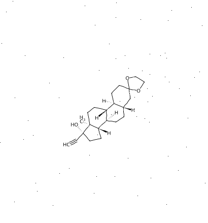 C#C[C@]1(O)CC[C@H]2[C@@H]3CC[C@H]4CC5(CC[C@@H]4[C@H]3CC[C@@]21C)OCCO5